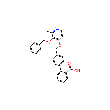 Cc1nccc(OCc2ccc(-c3ccccc3C(=O)O)cc2)c1OCc1ccccc1